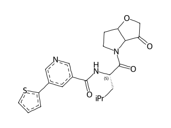 CC(C)C[C@H](NC(=O)c1cncc(-c2cccs2)c1)C(=O)N1CCC2OCC(=O)C21